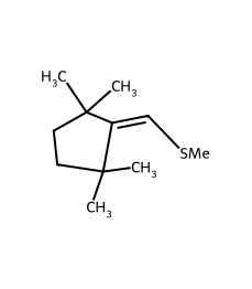 CSC=C1C(C)(C)CCC1(C)C